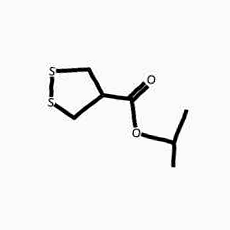 CC(C)OC(=O)C1CSSC1